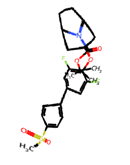 CC(C)(C)OC(=O)N1C2CCC1CC(Oc1c(F)cc(-c3ccc(S(C)(=O)=O)cc3)cc1F)C2